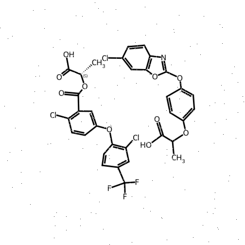 CC(Oc1ccc(Oc2nc3ccc(Cl)cc3o2)cc1)C(=O)O.C[C@H](OC(=O)c1cc(Oc2ccc(C(F)(F)F)cc2Cl)ccc1Cl)C(=O)O